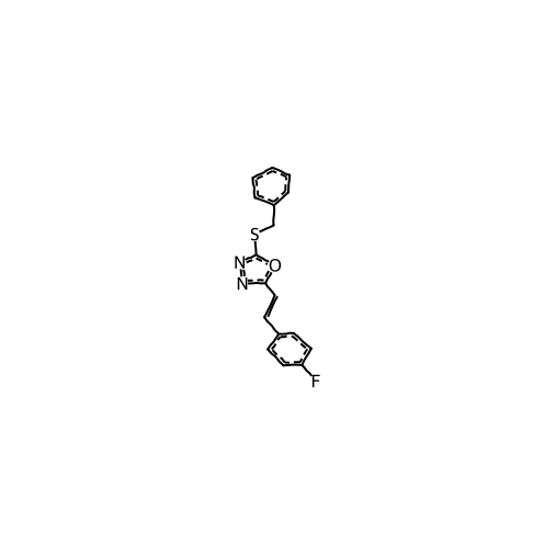 Fc1ccc(C=Cc2nnc(SCc3ccccc3)o2)cc1